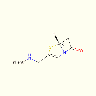 CCCCCNCC1=CN2C(=O)C[C@H]2S1